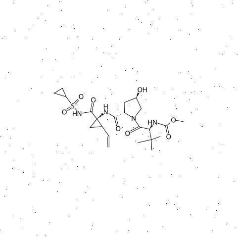 C=CC1C[C@]1(NC(=O)[C@@H]1C[C@@H](O)CN1C(=O)[C@@H](NC(=O)OC)C(C)(C)C)C(=O)NS(=O)(=O)C1CC1